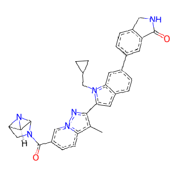 Cc1c(-c2cc3ccc(-c4ccc5c(c4)C(=O)NC5)cc3n2CC2CC2)nn2cc(C(=O)N3CC4[C@@H]5C3N45)ccc12